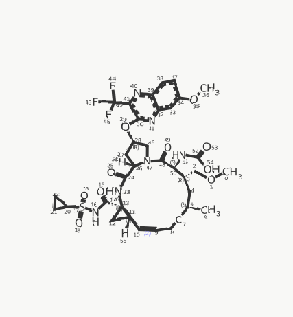 COC[C@@H]1C[C@@H](C)CC/C=C\[C@@H]2C[C@@]2(C(=O)NS(=O)(=O)C2CC2)NC(=O)[C@@H]2C[C@@H](Oc3nc4cc(OC)ccc4nc3C(F)(F)F)CN2C(=O)[C@H]1NC(=O)O